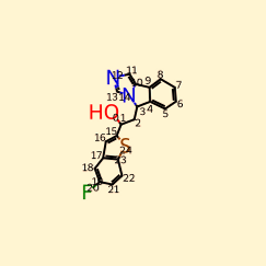 OC(CC1c2ccccc2-c2cncn21)c1cc2cc(F)ccc2s1